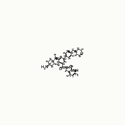 Cc1cc(C)c(CNC(=O)c2cc(-c3ccc(CN4CCOCC4)nc3)cc(N(C)[C@H]3CC[C@@H](N)CC3)c2C)c(=O)[nH]1